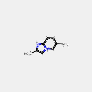 O=C(O)c1cn2cc([N+](=O)[O-])ccc2n1